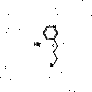 Br.BrCCCc1cccnc1